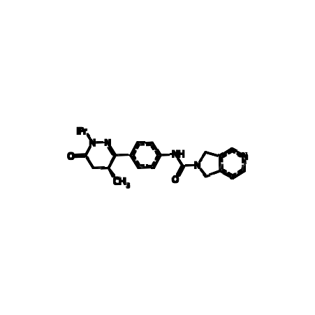 CC(C)N1N=C(c2ccc(NC(=O)N3Cc4ccncc4C3)cc2)[C@@H](C)CC1=O